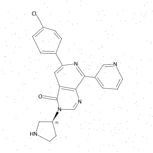 O=c1c2cc(-c3ccc(Cl)cc3)nc(-c3cccnc3)c2ncn1[C@H]1CCNC1